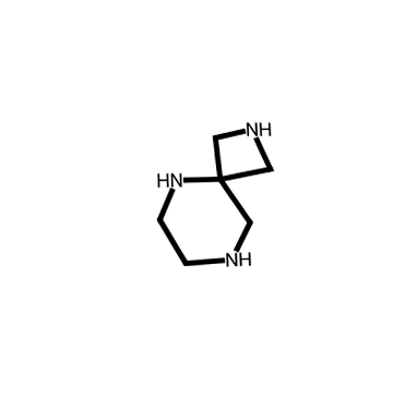 C1CNC2(CN1)CNC2